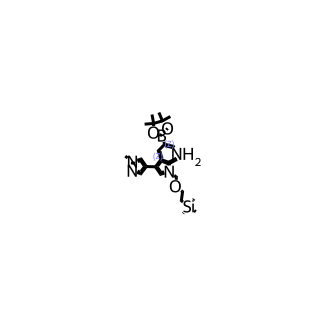 C=c1/c(=C\C(=C/N)B2OC(C)(C)C(C)(C)O2)c(-c2cnn(C)c2)cn1COCC[Si](C)(C)C